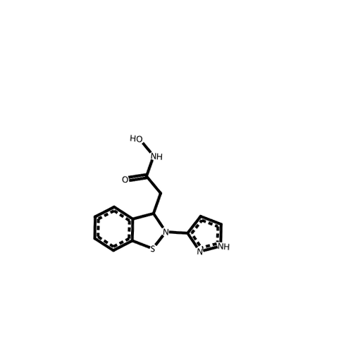 O=C(CC1c2ccccc2SN1c1cc[nH]n1)NO